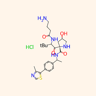 Cc1ncsc1-c1ccc(C(C)NC(=O)[C@@]2(C(=O)C(NC(=O)CCCN)C(C)(C)C)C[C@@H](O)CN2)cc1.Cl